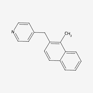 Cc1c(Cc2ccncc2)ccc2ccccc12